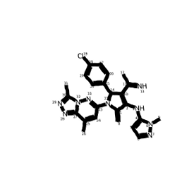 C=C1C(Nc2ccnn2C)=C(C(C)=N)C(c2ccc(Cl)cc2)N1c1cc(C)c2nnc(C)n2n1